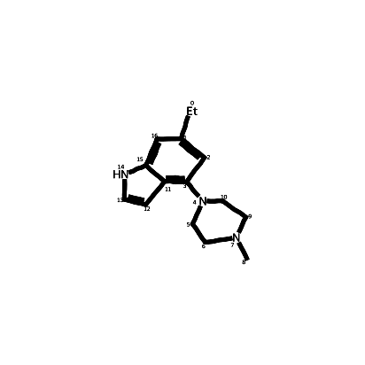 CCc1cc(N2CCN(C)CC2)c2cc[nH]c2c1